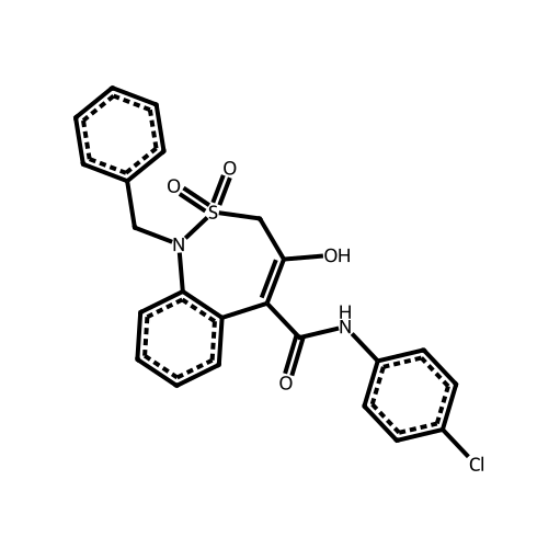 O=C(Nc1ccc(Cl)cc1)C1=C(O)CS(=O)(=O)N(Cc2ccccc2)c2ccccc21